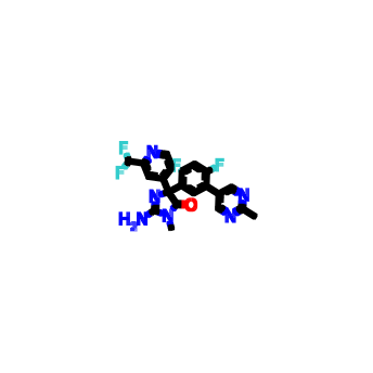 Cc1ncc(-c2cc(C3(c4ccnc(C(F)F)c4)N=C(N)N(C)C3=O)c(F)cc2F)cn1